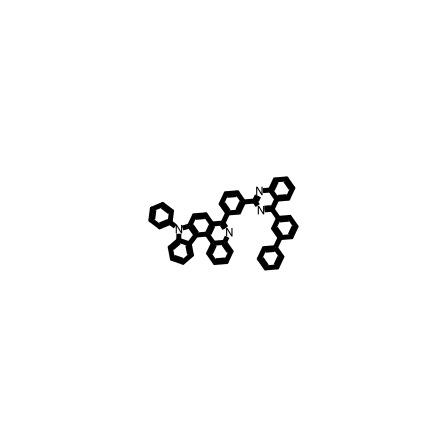 c1ccc(-c2cccc(-c3nc(-c4cccc(-c5nc6ccccc6c6c5ccc5c6c6ccccc6n5-c5ccccc5)c4)nc4ccccc34)c2)cc1